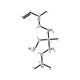 C=C[SiH](C)O[SiH2][Si](C)(O[SiH3])[SiH2]O[SiH](C)C